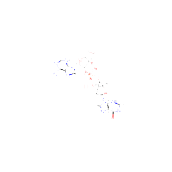 Nc1ncnc2c1ncn2[C@@H]1O[C@H](CO)[C@@H](O)[C@H]1OP(=O)(O)OC1[C@H]2O[C@@H](n3cnc4c(=O)[nH]cnc43)C[C@@]12O